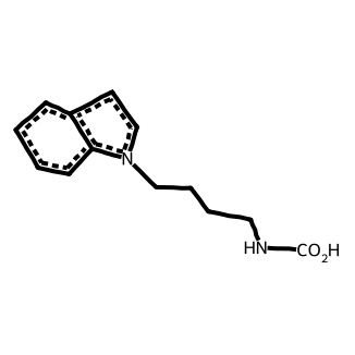 O=C(O)NCCCCn1ccc2ccccc21